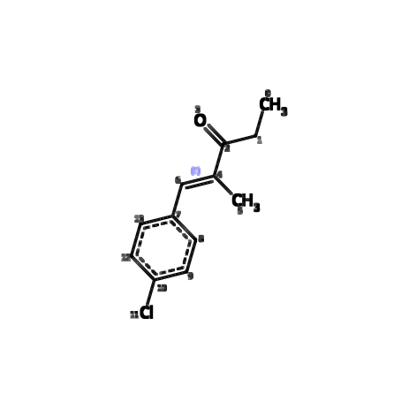 CCC(=O)/C(C)=C/c1ccc(Cl)cc1